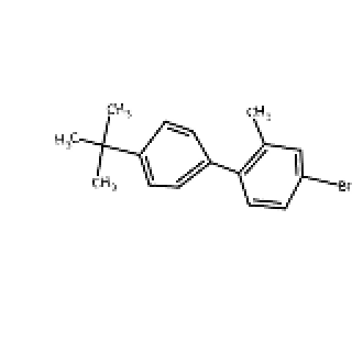 Cc1cc(Br)ccc1-c1ccc(C(C)(C)C)cc1